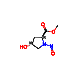 COC(=O)[C@@H]1C[C@@H](O)CN1N=O